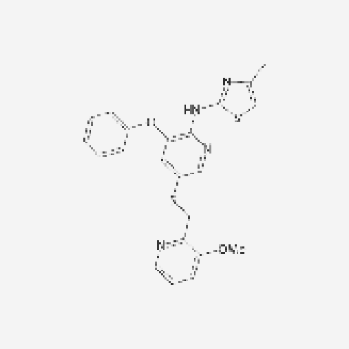 COc1cccnc1CSc1cnc(Nc2nc(C)cs2)c(Oc2ccccc2)c1